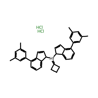 Cc1cc(C)cc(-c2cccc3c2C=C[CH]3[Hf](=[C]2CCC2)[CH]2C=Cc3c(-c4cc(C)cc(C)c4)cccc32)c1.Cl.Cl